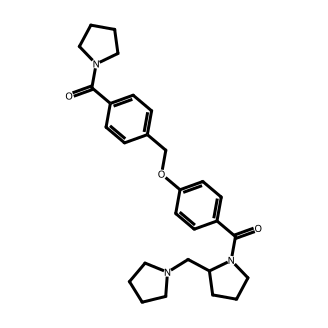 O=C(c1ccc(COc2ccc(C(=O)N3CCCC3CN3CCCC3)cc2)cc1)N1CCCC1